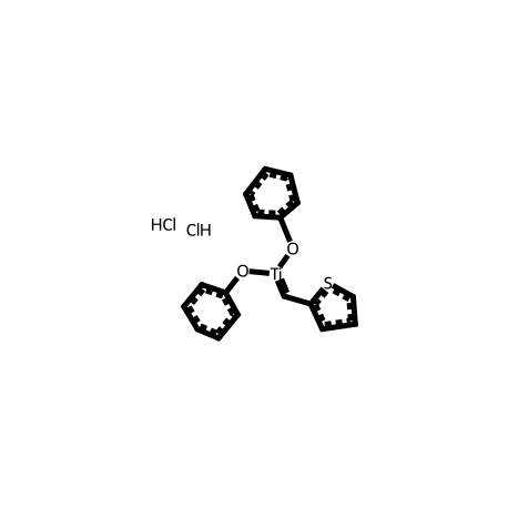 Cl.Cl.[CH](c1cccs1)=[Ti]([O]c1ccccc1)[O]c1ccccc1